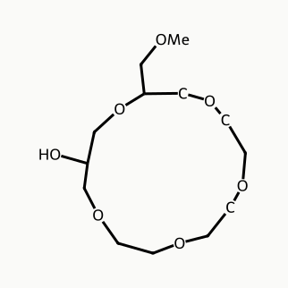 COCC1COCCOCCOCCOCC(O)CO1